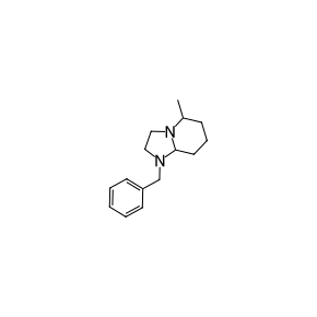 CC1CCCC2N(Cc3ccccc3)CCN12